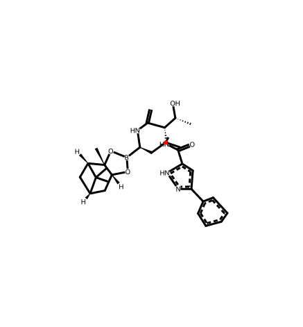 C=C(N[C@@H](CC(C)C)B1O[C@@H]2C[C@@H]3C[C@@H](C3(C)C)[C@]2(C)O1)[C@@H](NC(=O)c1cc(-c2ccccc2)n[nH]1)[C@@H](C)O